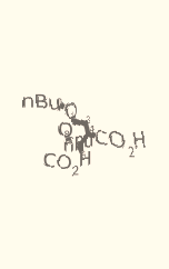 CCCCOC(CC(CC(=O)O)C(=O)O)OCCCC